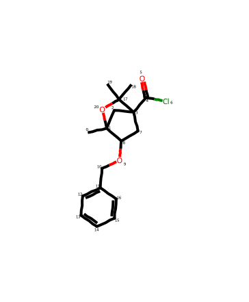 CC12CC(C(=O)Cl)(CC1OCc1ccccc1)C(C)(C)O2